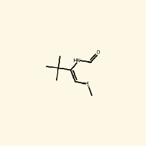 CS/C=C(\NC=O)C(C)(C)C